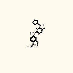 Cc1cnc(Nc2ccc3c(c2)COB3O)nc1NC1CCCC1